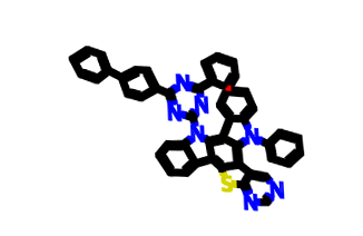 c1ccc(-c2ccc(-c3nc(-c4ccccc4)nc(-n4c5ccccc5c5c6sc7ncncc7c6c6c(c7ccccc7n6-c6ccccc6)c54)n3)cc2)cc1